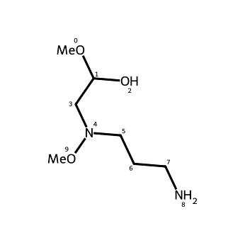 COC(O)CN(CCCN)OC